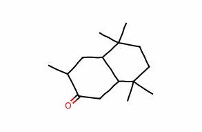 CC1CC2C(CC1=O)C(C)(C)CCC2(C)C